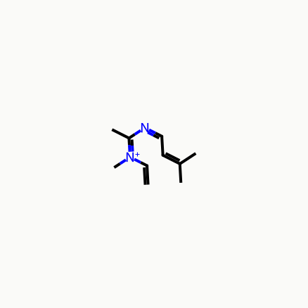 C=C/[N+](C)=C(C)\N=C/C=C(C)C